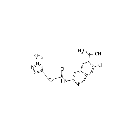 C=C(C)c1cc2cc(NC(=O)C3CC3c3cnn(C)c3)ncc2cc1Cl